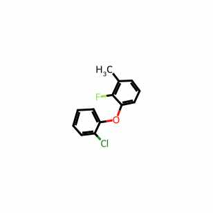 Cc1cccc(Oc2ccccc2Cl)c1F